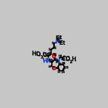 CCN(CC)CCCCC(NC1COc2ccccc2N(CC(=O)O)C1=O)C(=O)O